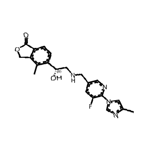 Cc1cn(-c2ncc(CNC[C@H](O)c3ccc4c(c3C)COC4=O)cc2F)cn1